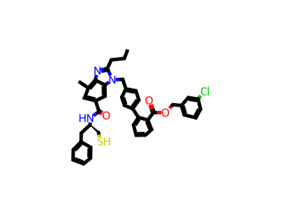 CCCc1nc2c(C)cc(C(=O)N[C@@H](CS)Cc3ccccc3)cc2n1Cc1ccc(-c2ccccc2C(=O)OCc2cccc(Cl)c2)cc1